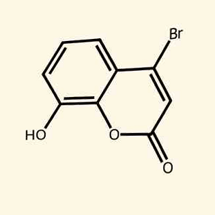 O=c1cc(Br)c2cccc(O)c2o1